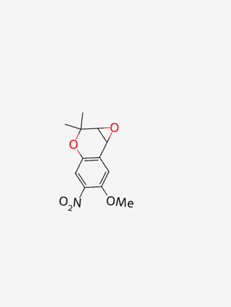 COc1cc2c(cc1[N+](=O)[O-])OC(C)(C)C1OC21